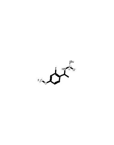 CC(N[S@@+]([O-])C(C)(C)C)c1ccc(OC(F)(F)F)cc1F